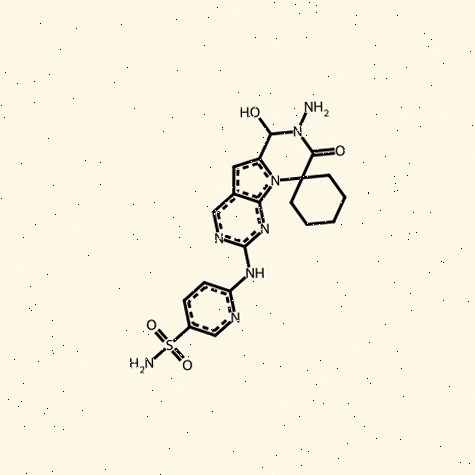 NN1C(=O)C2(CCCCC2)n2c(cc3cnc(Nc4ccc(S(N)(=O)=O)cn4)nc32)C1O